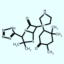 CC1CC(C)(C)C([N+]2(C3C(=O)N4C3SC(C)(C)C4c3nnn[nH]3)CCNC2)CC1=O